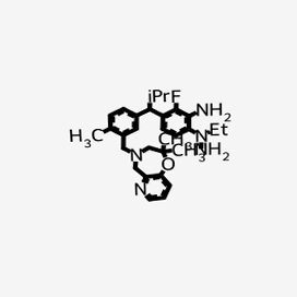 CCN(N)c1ccc(C(c2ccc(C)c(CN3Cc4ncccc4OC(C)(C)C3)c2)C(C)C)c(F)c1N